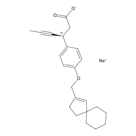 CC#C[C@@H](CC(=O)[O-])c1ccc(OCC2=CC3(CCCCC3)CC2)cc1.[Na+]